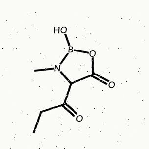 CCC(=O)C1C(=O)OB(O)N1C